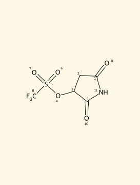 O=C1CC(OS(=O)(=O)C(F)(F)F)C(=O)N1